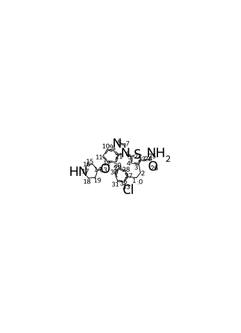 C[C@@H](Cc1cc(-n2cnc3ccc(OC4CCNCC4)cc32)sc1C(N)=O)c1ccccc1Cl